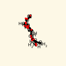 C=C1C[C@H](CC[C@]23C[C@@H](O)[C@H](O2)[C@@H](C)O[C@H]2CC[C@H](CC(=O)C[C@H]4CO[C@H](C[C@H](O)CNC(=O)OCc5ccc(NC(=O)C(CCCNC(N)=O)NC(=O)C(N)C(C)C)cc5)[C@@H]4OC)O[C@@H]2[C@@H](C)O3)O[C@H]1CCC1C[C@@H](C)C(=C)[C@@H](C)O1